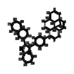 C1=CC23C=CC4=CC=C(c5ccc(-c6c(-c7ccc8ccccc8c7)nc7ccccn67)cc5)C5=CCC(=C1)C2C45C3